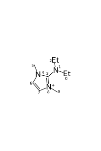 CCN(CC)c1n(C)cc[n+]1C